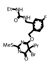 CCNC(=O)NCc1cc(F)ccc1COC1=NC(SC)=NC(=O)C1(Br)C(C)C